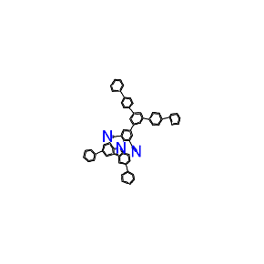 N#Cc1cc(-c2cc(-c3ccc(-c4ccccc4)cc3)cc(-c3ccc(-c4ccccc4)cc3)c2)cc(C#N)c1-n1c2ccc(-c3ccccc3)cc2c2cc(-c3ccccc3)ccc21